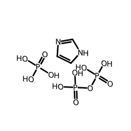 O=P(O)(O)O.O=P(O)(O)OP(=O)(O)O.c1c[nH]cn1